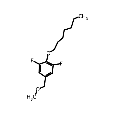 CCCCCCCOc1c(F)cc(COC)cc1F